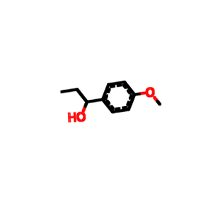 CCC(O)c1ccc(OC)cc1